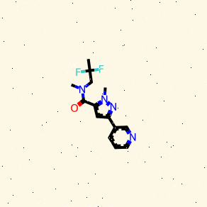 CN(CC(C)(F)F)C(=O)c1cc(-c2cccnc2)nn1C